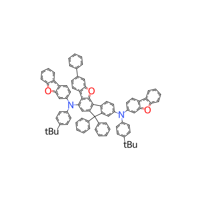 CC(C)(C)c1ccc(N(c2ccc3c(c2)C(c2ccccc2)(c2ccccc2)c2cc(N(c4ccc(C(C)(C)C)cc4)c4ccc5c(c4)oc4ccccc45)c4c(oc5cc(-c6ccccc6)ccc54)c2-3)c2ccc3c(c2)oc2ccccc23)cc1